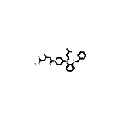 CC(C)CCN(c1ccccc1OCc1ccccc1)C1CCN(C(=O)CC(C)CC(N)=O)CC1